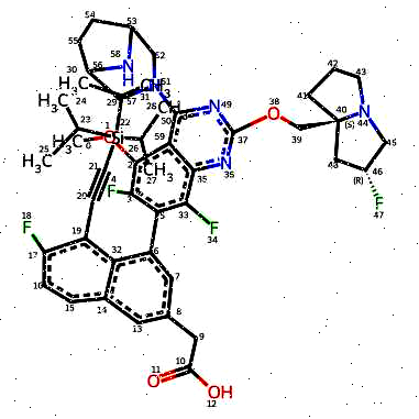 COc1c(F)c(-c2cc(CC(=O)O)cc3ccc(F)c(C#C[Si](C(C)C)(C(C)C)C(C)C)c23)c(F)c2nc(OC[C@@]34CCCN3C[C@H](F)C4)nc(N3CC4CCC(C3)N4)c12